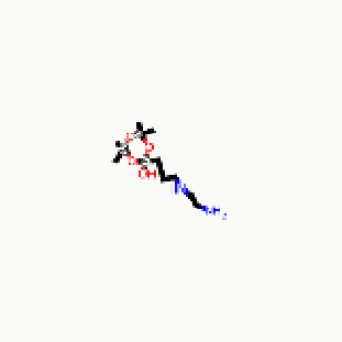 C[Si]1(C)O[Si](C)(C)O[Si](O)(CCCNCCN)O1